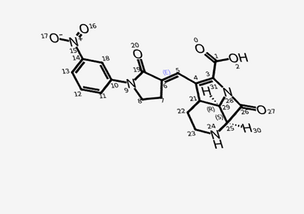 O=C(O)C1=C(/C=C2\CCN(c3cccc([N+](=O)[O-])c3)C2=O)C2CCN[C@@H]3C(=O)N1[C@H]23